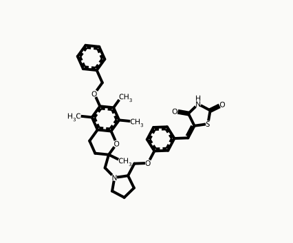 Cc1c(C)c2c(c(C)c1OCc1ccccc1)CCC(C)(CN1CCCC1COc1cccc(C=C3SC(=O)NC3=O)c1)O2